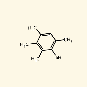 Cc1cc(C)c(S)c(C)c1C